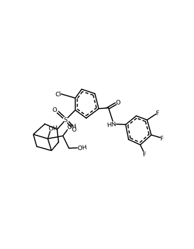 O=C(Nc1cc(F)c(F)c(F)c1)c1ccc(Cl)c(S(=O)(=O)C2CC3CC(C2)C3(O)C(O)CO)c1